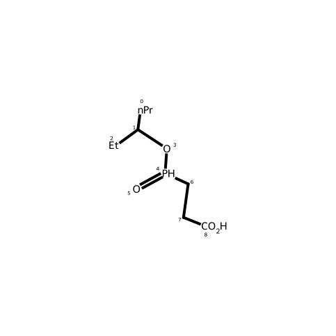 CCCC(CC)O[PH](=O)CCC(=O)O